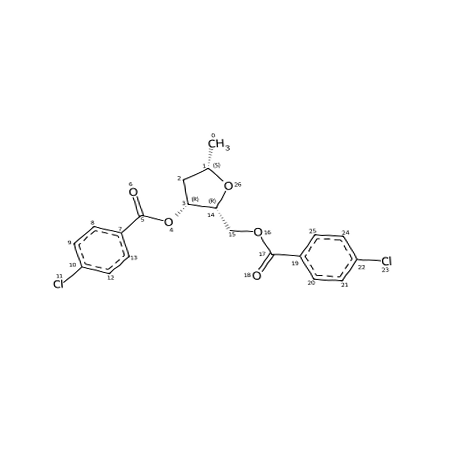 C[C@H]1C[C@@H](OC(=O)c2ccc(Cl)cc2)[C@@H](COC(=O)c2ccc(Cl)cc2)O1